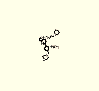 Cl.Cl.Cl.c1cc2nc(-c3ccc(CN4CCOCC4)cc3)cc(NCCCN3CCCCC3)c2s1